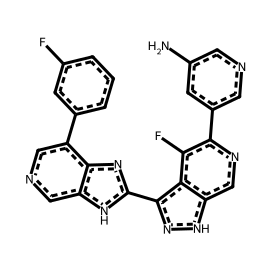 Nc1cncc(-c2ncc3[nH]nc(-c4nc5c(-c6cccc(F)c6)cncc5[nH]4)c3c2F)c1